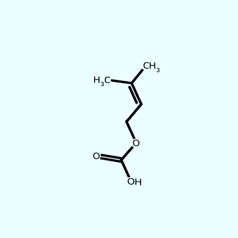 CC(C)=CCOC(=O)O